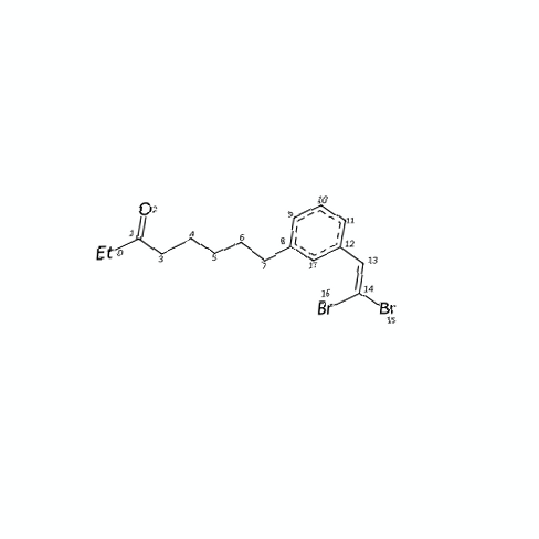 CCC(=O)CCCCCc1cccc(C=C(Br)Br)c1